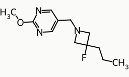 CCCC1(F)CN(Cc2cnc(OC)nc2)C1